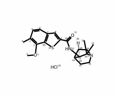 COc1c(C)ccc2cc(C(=O)N[C@@H]3C4CCN(CC4)C3(C)C)sc12.Cl